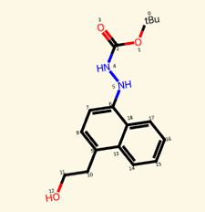 CC(C)(C)OC(=O)NNc1ccc(CCO)c2ccccc12